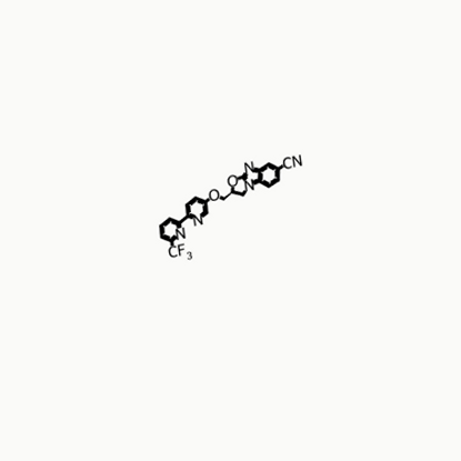 N#Cc1ccc2c(c1)nc1n2C[C@@H](COc2ccc(-c3cccc(C(F)(F)F)n3)nc2)O1